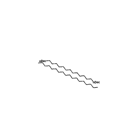 CCCCCCCCCCCCCCCCCC.CCCCCCCCCCCCCCCCCCCCCCCCCCCCCCCCC